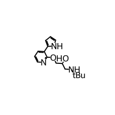 CC(C)(C)NC[C@H](O)COc1ncccc1-c1ccc[nH]1